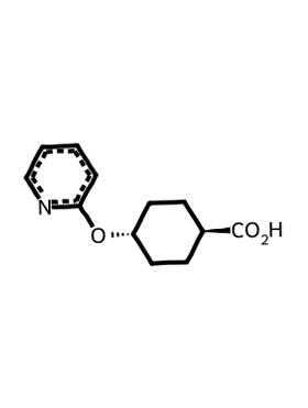 O=C(O)[C@H]1CC[C@H](Oc2ccccn2)CC1